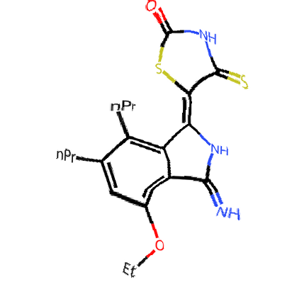 CCCc1cc(OCC)c2c(c1CCC)C(=C1SC(=O)NC1=S)NC2=N